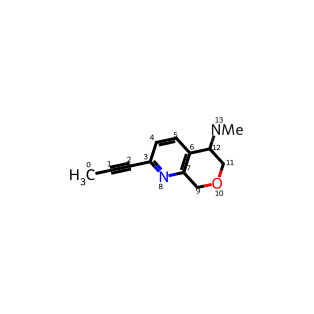 CC#Cc1ccc2c(n1)COCC2NC